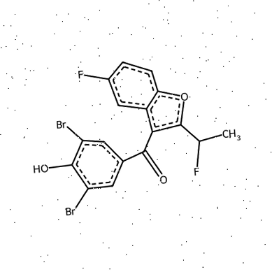 CC(F)c1oc2ccc(F)cc2c1C(=O)c1cc(Br)c(O)c(Br)c1